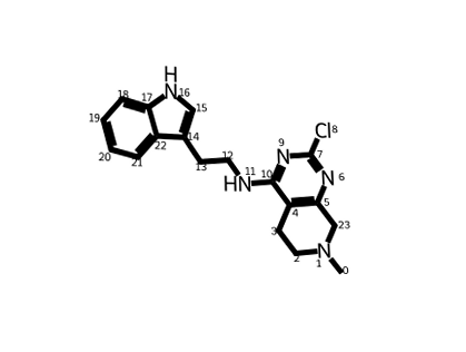 CN1CCc2c(nc(Cl)nc2NCCc2c[nH]c3ccccc23)C1